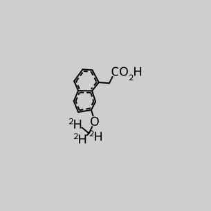 [2H]C([2H])([2H])Oc1ccc2cccc(CC(=O)O)c2c1